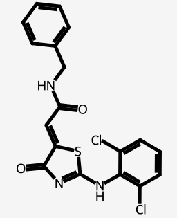 O=C(C=C1SC(Nc2c(Cl)cccc2Cl)=NC1=O)NCc1ccccc1